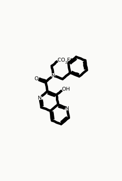 CCOC(=O)CN(Cc1ccccc1)C(=O)c1ncc2cccnc2c1O